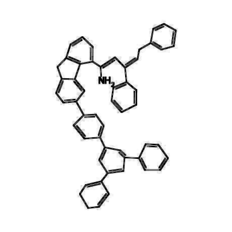 N/C(=C\C(=C/Cc1ccccc1)c1ccccc1)c1cccc2c1-c1cc(-c3ccc(-c4cc(C5=CCCC=C5)cc(-c5ccccc5)c4)cc3)ccc1C2